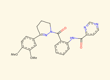 COc1ccc(C2=NN(C(=O)c3ccccc3NC(=O)c3ccncn3)CCC2)cc1OC